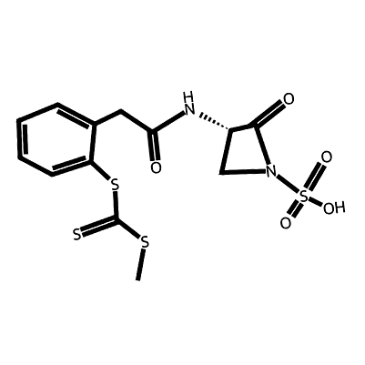 CSC(=S)Sc1ccccc1CC(=O)N[C@H]1CN(S(=O)(=O)O)C1=O